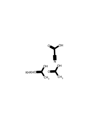 CC(=O)O.CC(=O)O.N#CC(=O)O.[KH].[KH]